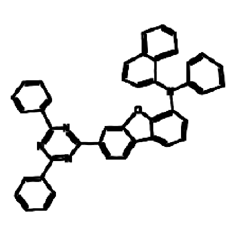 c1ccc(-c2nc(-c3ccccc3)nc(-c3ccc4c(c3)oc3c(N(c5ccccc5)c5cccc6ccccc56)cccc34)n2)cc1